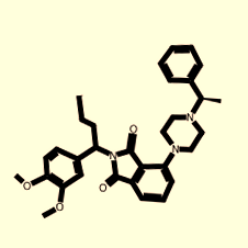 [CH2]CCC(c1ccc(OC)c(OC)c1)N1C(=O)c2cccc(N3CCN([C@H](C)c4ccccc4)CC3)c2C1=O